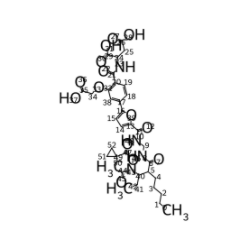 CCCCCC(C(=O)NCNC(=O)c1ccc(-c2ccc(C(=O)NC(CC(=O)O)C(=O)O)c(OCC(=O)O)c2)o1)C(CC)N(C=O)OC(=O)C1(C)CC1